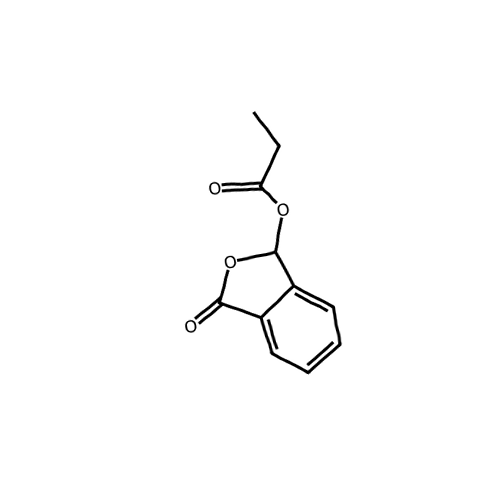 CCC(=O)OC1OC(=O)c2ccccc21